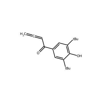 C=C=CC(=O)c1cc(C(C)(C)C)c(O)c(C(C)(C)C)c1